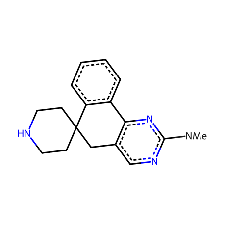 CNc1ncc2c(n1)-c1ccccc1C1(CCNCC1)C2